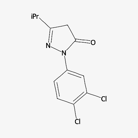 CC(C)C1=NN(c2ccc(Cl)c(Cl)c2)C(=O)C1